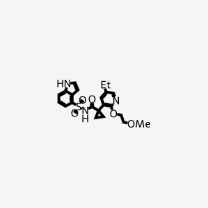 CCc1cnc(OCCOC)c(C2(C(=O)NS(=O)(=O)c3cccc4[nH]ccc34)CC2)c1